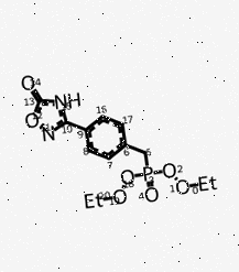 CCOOP(=O)(Cc1ccc(-c2noc(=O)[nH]2)cc1)OOCC